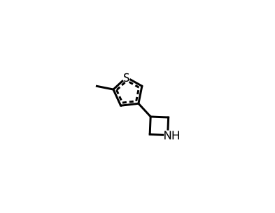 Cc1cc(C2CNC2)cs1